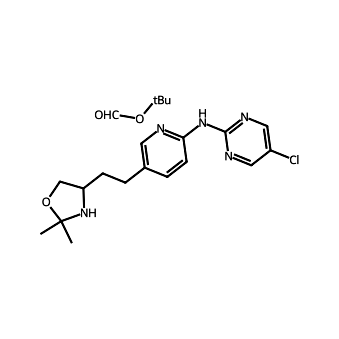 CC(C)(C)OC=O.CC1(C)NC(CCc2ccc(Nc3ncc(Cl)cn3)nc2)CO1